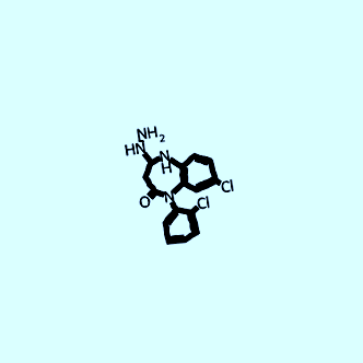 NNC1CC(=O)N(c2ccccc2Cl)c2cc(Cl)ccc2N1